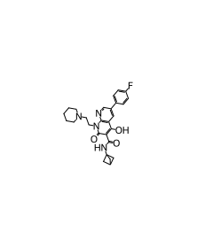 O=C(NC12CC(C1)C2)c1c(O)c2cc(-c3ccc(F)cc3)cnc2n(CCN2CCCCC2)c1=O